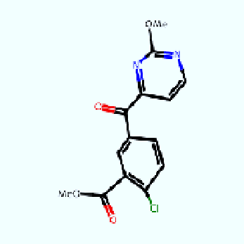 COC(=O)c1cc(C(=O)c2ccnc(OC)n2)ccc1Cl